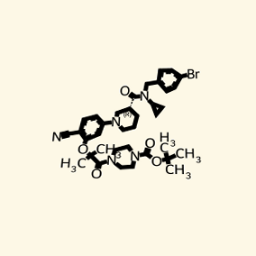 CC(C)(C)OC(=O)N1CCN(C(=O)C(C)(C)Oc2cc(N3CCC[C@@H](C(=O)N(Cc4ccc(Br)cc4)C4CC4)C3)ccc2C#N)CC1